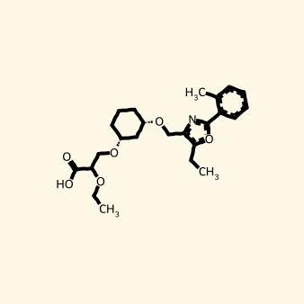 CCOC(CO[C@@H]1CCC[C@H](OCc2nc(-c3ccccc3C)oc2CC)C1)C(=O)O